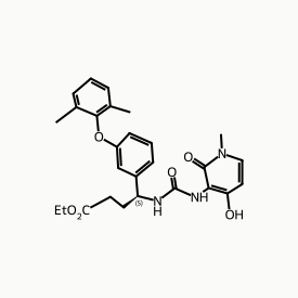 CCOC(=O)CC[C@H](NC(=O)Nc1c(O)ccn(C)c1=O)c1cccc(Oc2c(C)cccc2C)c1